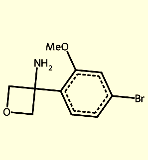 COc1cc(Br)ccc1C1(N)COC1